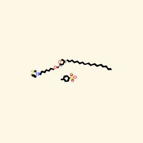 CCCCCCCCCCCCCCCCC[C@H]1CO[C@H](COCCCCCCC[n+]2ccsc2)C1.Cc1ccc(S(=O)(=O)[O-])cc1